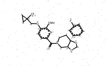 COc1nc(C(=O)N2CC[C@@]3(c4cccc(F)c4)OCOC3C2)ccc1OCC1(C(F)(F)F)CC1